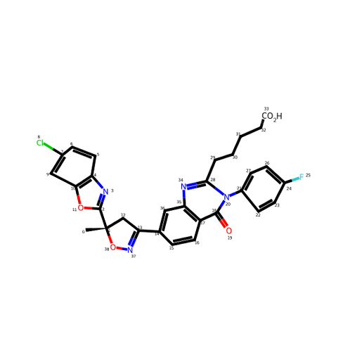 C[C@@]1(c2nc3ccc(Cl)cc3o2)CC(c2ccc3c(=O)n(-c4ccc(F)cc4)c(CCCCC(=O)O)nc3c2)=NO1